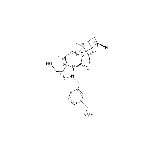 CNCc1cccc(CN2O[C@@H](CO)[C@@H]([C@H](C)O)[C@H]2C(=O)N[C@H]2C[C@H]3CC([C@@H]2C)C3(C)C)c1